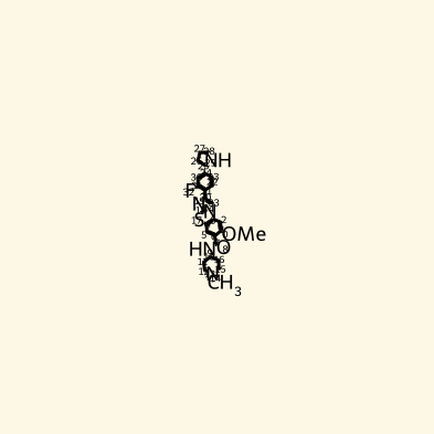 COc1cc2c(cc1C(=O)NC1CCN(C)CC1)sc1nc(-c3ccc([C@@H]4CCCN4)cc3F)cn12